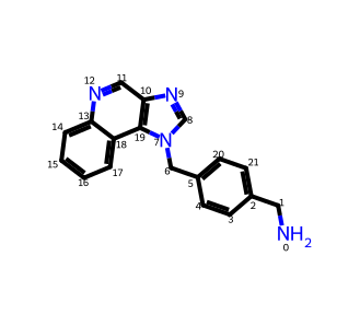 NCc1ccc(Cn2cnc3cnc4ccccc4c32)cc1